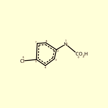 O=C(O)[N]c1ccc(Cl)cc1